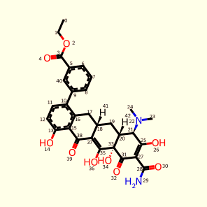 CCOC(=O)c1cccc(-c2ccc(O)c3c2C[C@@H]2C[C@@H]4[C@@H](N(C)C)C(O)=C(C(N)=O)C(=O)[C@@]4(O)C(O)=C2C3=O)c1